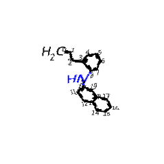 C=CCc1ccccc1Nc1ccc2ccccc2c1